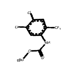 CC(C)(C)OC(=O)Nc1cc(Cl)c(Cl)cc1C(F)(F)F